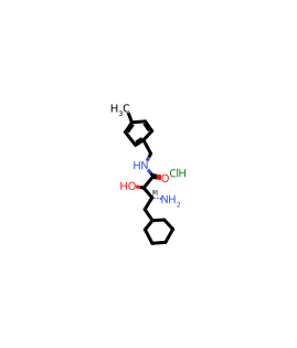 Cc1ccc(CNC(=O)C(O)[C@H](N)CC2CCCCC2)cc1.Cl